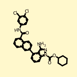 Nc1nn(C(=O)OC2CCCCC2)c2cccc(-c3ccc4c(C(=O)Nc5ccc(Cl)c(Cl)c5)cccc4c3)c12